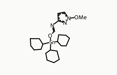 COn1ccc(/N=C/[O][Sn]([CH]2CCCCC2)([CH]2CCCCC2)[CH]2CCCCC2)n1